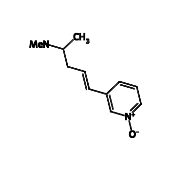 CNC(C)C/C=C/c1ccc[n+]([O-])c1